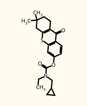 CCN(CC1CC1)C(=O)Oc1ccc2c(=O)c3c(sc2c1)CC(C)(C)CC3